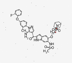 Cc1cc(Oc2ccccc2F)ccc1-n1ncc(C(=O)c2cc3cc(OCCN4CC5CC(C4)N5S(C)(=O)=O)c(NS(C)(=O)=O)cc3[nH]2)c1N